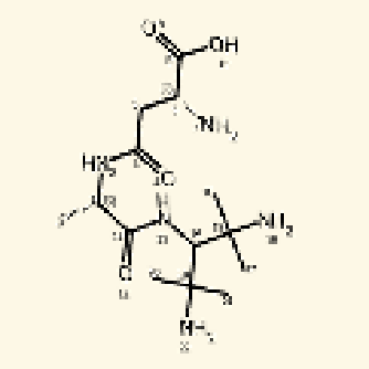 C[C@H](NC(=O)C[C@@H](N)C(=O)O)C(=O)NC(C(C)(C)N)C(C)(C)N